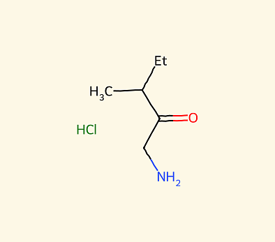 CCC(C)C(=O)CN.Cl